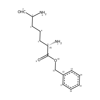 NC(C=O)CCC[C@H](N)C(=O)OCc1ccccc1